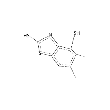 Cc1cc2sc(S)nc2c(S)c1C